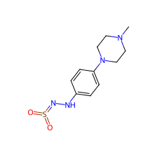 CN1CCN(c2ccc(NN=S(=O)=O)cc2)CC1